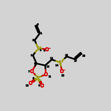 C=CC[S+]([O-])CC1OS(=O)(=O)OC1C[S+]([O-])CC=C